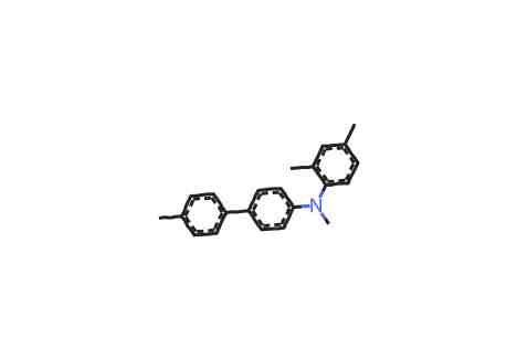 Cc1ccc(-c2ccc(N(C)c3ccc(C)cc3C)cc2)cc1